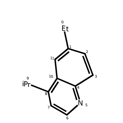 CCc1ccc2nccc(C(C)C)c2c1